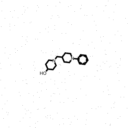 OC1CCN(CC2CCN(c3ccccc3)CC2)CC1